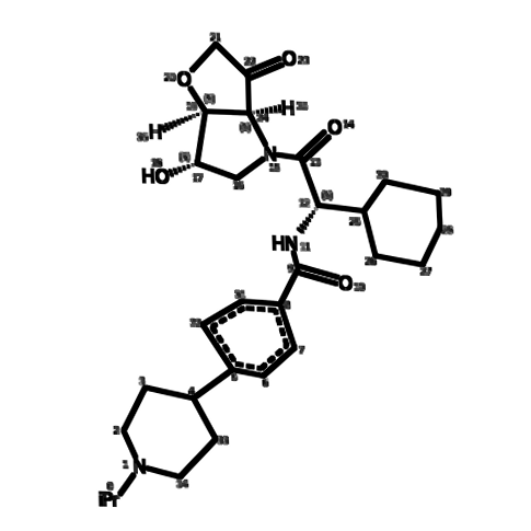 CC(C)N1CCC(c2ccc(C(=O)N[C@H](C(=O)N3C[C@H](O)[C@H]4OCC(=O)[C@H]43)C3CCCCC3)cc2)CC1